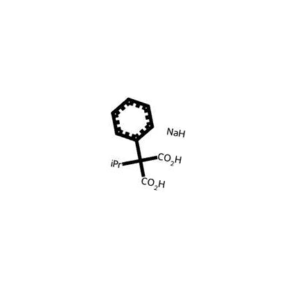 CC(C)C(C(=O)O)(C(=O)O)c1ccccc1.[NaH]